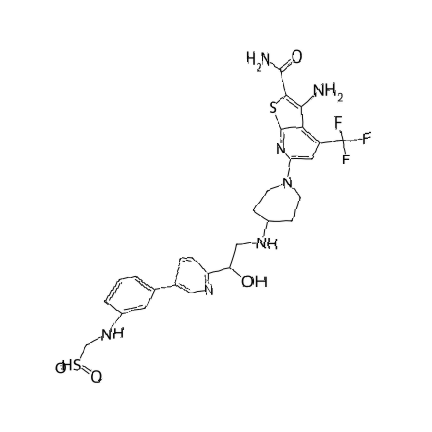 NC(=O)c1sc2nc(N3CCC(NCC(O)c4ccc(-c5cccc(NC[SH](=O)=O)c5)cn4)CC3)cc(C(F)(F)F)c2c1N